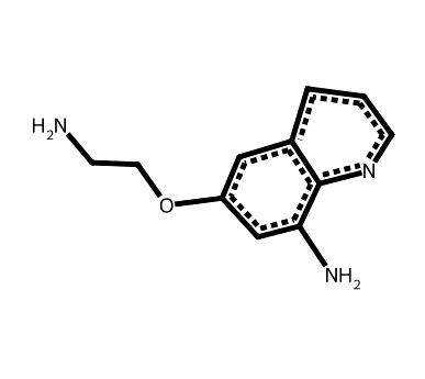 NCCOc1cc(N)c2ncccc2c1